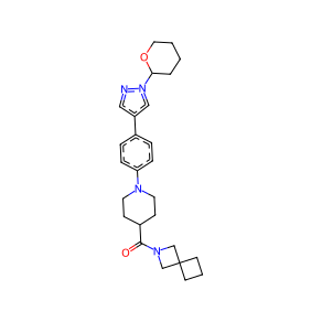 O=C(C1CCN(c2ccc(-c3cnn(C4CCCCO4)c3)cc2)CC1)N1CC2(CCC2)C1